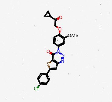 COc1cc(-n2nnc3cc(-c4ccc(Cl)cc4)sc3c2=O)ccc1OCC(=O)C1CC1